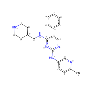 N#Cc1ccc(Nc2ncc(-c3ccccc3)c(NCC3CCNCC3)n2)cn1